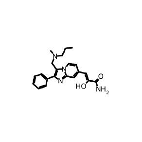 CCCN(C)Cc1c(-c2ccccc2)nc2cc(C=C(O)C(N)=O)ccn12